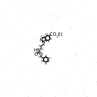 CCOC(=O)c1ccc2c(cnn2CCCNC(=O)OCc2ccccc2)c1